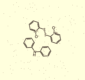 [O-][n+]1ccccc1SSc1cccc[n+]1[O-].c1ccc(Nc2ccccc2)cc1